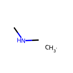 CNC.[CH3]